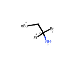 CCCCCC([NH])(CC)CC